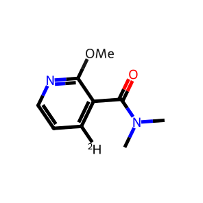 [2H]c1ccnc(OC)c1C(=O)N(C)C